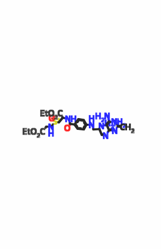 C=C(N)/N=C1/N=CC(CNc2ccc(C(=O)NC(C[S+]([O-])NCC(=O)OCC)C(=O)OCC)cc2)=NC1=C(N)N